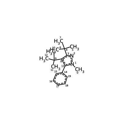 Cn1nc(C(C)(C)C)c(C(C)(C)C)c1-c1ccccc1